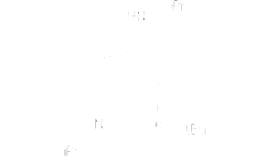 CC(C)NC1CCN(C(C)C)C[C@@H](C(C)(C)C)C1